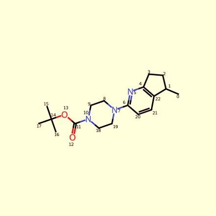 CC1CCc2nc(N3CCN(C(=O)OC(C)(C)C)CC3)ccc21